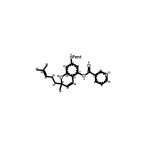 CCCCCc1cc(OC(=O)c2cccnc2)c2c(c1)OC(C)(CCC=C(C)C)C=C2